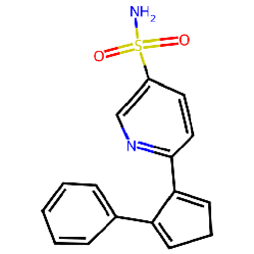 NS(=O)(=O)c1ccc(C2=CCC=C2c2ccccc2)nc1